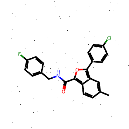 Cc1ccc2c(C(=O)NCc3ccc(F)cc3)oc(-c3ccc(Cl)cc3)c2c1